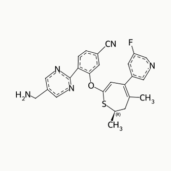 CC1=C(c2cncc(F)c2)C=C(Oc2cc(C#N)ccc2-c2ncc(CN)cn2)S[C@H](C)C1